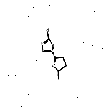 CC1C[CH]C(c2cnc(Cl)s2)O1